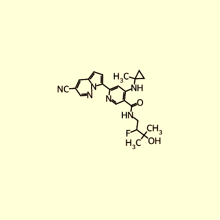 CC1(Nc2cc(-c3ccc4cc(C#N)cnn34)ncc2C(=O)NCC(F)C(C)(C)O)CC1